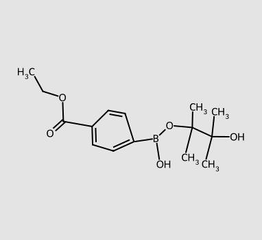 CCOC(=O)c1ccc(B(O)OC(C)(C)C(C)(C)O)cc1